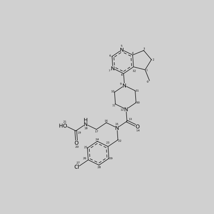 CC1CCc2ncnc(N3CCN(C(=O)N(CCNC(=O)O)Cc4ccc(Cl)cc4)CC3)c21